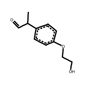 CC(C=O)c1ccc(OCCO)cc1